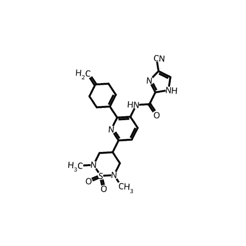 C=C1CC=C(c2nc(C3CN(C)S(=O)(=O)N(C)C3)ccc2NC(=O)c2nc(C#N)c[nH]2)CC1